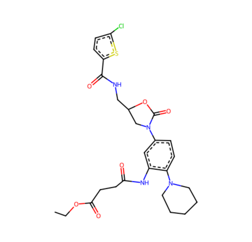 CCOC(=O)CCC(=O)Nc1cc(N2CC(CNC(=O)c3ccc(Cl)s3)OC2=O)ccc1N1CCCCC1